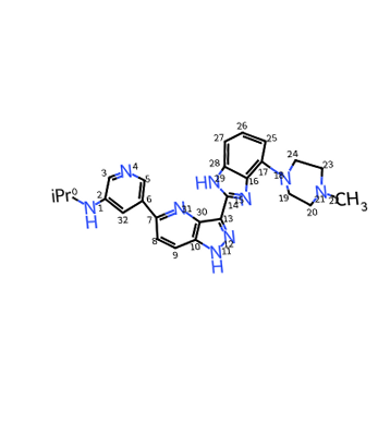 CC(C)Nc1cncc(-c2ccc3[nH]nc(-c4nc5c(N6CCN(C)CC6)cccc5[nH]4)c3n2)c1